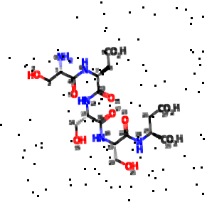 N[C@@H](CO)C(=O)N[C@@H](CC(=O)O)C(=O)N[C@@H](CO)C(=O)N[C@@H](CO)C(=O)N[C@@H](CC(=O)O)C(=O)O